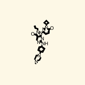 C=CCn1c(=O)c2cnc(Nc3ccc(N4CCN(C)CC4)cc3)nc2n1-c1ccc(=O)n(C2CCC2)n1